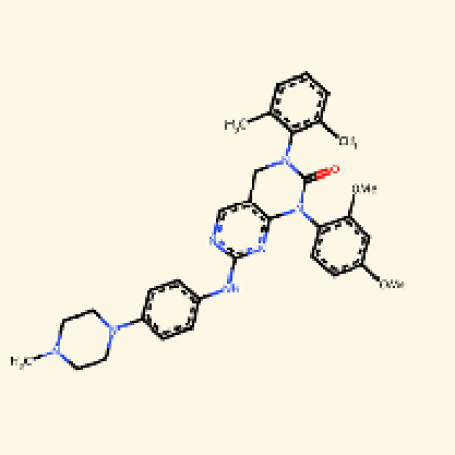 COc1ccc(N2C(=O)N(c3c(C)cccc3C)Cc3cnc(Nc4ccc(N5CCN(C)CC5)cc4)nc32)c(OC)c1